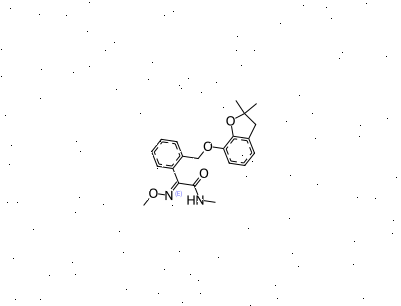 CNC(=O)/C(=N/OC)c1ccccc1COc1cccc2c1OC(C)(C)C2